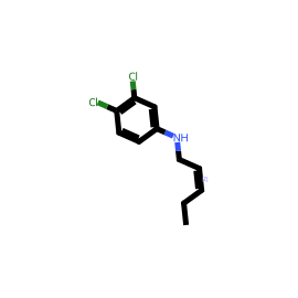 CC/C=C\CNc1ccc(Cl)c(Cl)c1